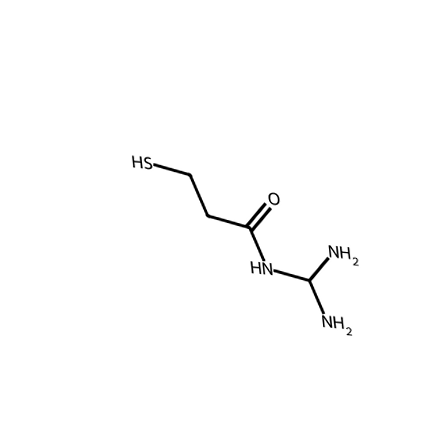 NC(N)NC(=O)CCS